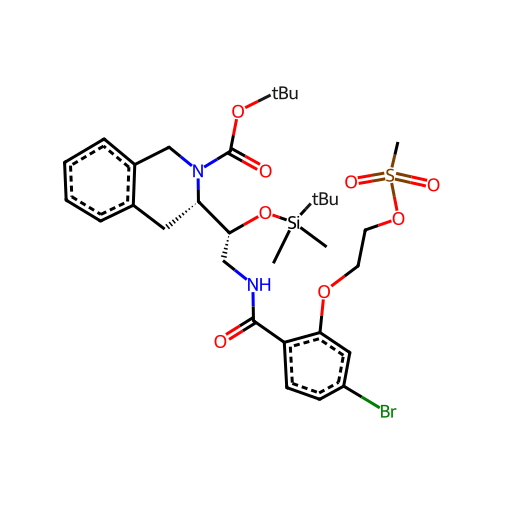 CC(C)(C)OC(=O)N1Cc2ccccc2C[C@H]1[C@@H](CNC(=O)c1ccc(Br)cc1OCCOS(C)(=O)=O)O[Si](C)(C)C(C)(C)C